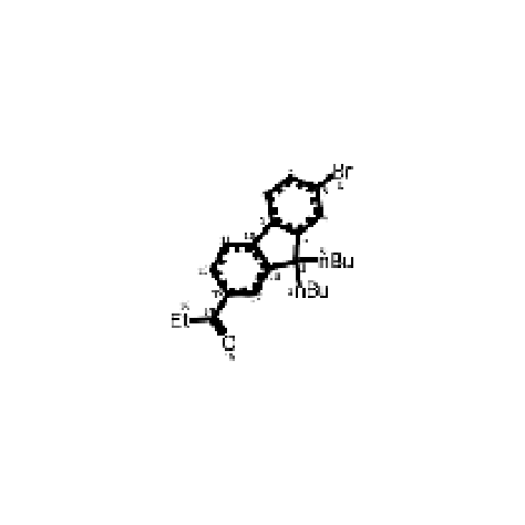 CCCCC1(CCCC)c2cc(Br)ccc2-c2ccc(C(=O)CC)cc21